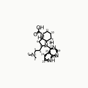 CN(C)CCC1C[C@@H]2[C@@H](CCCN2C(=O)O)N1c1ncnc2[nH]ccc12